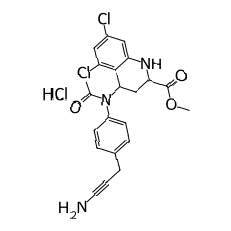 COC(=O)C1CC(N(C(C)=O)c2ccc(CC#CN)cc2)c2c(Cl)cc(Cl)cc2N1.Cl